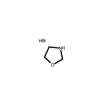 Br.C1COCN1